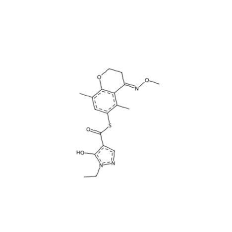 CCn1ncc(C(=O)Sc2cc(C)c3c(c2C)C(=NOC)CCO3)c1O